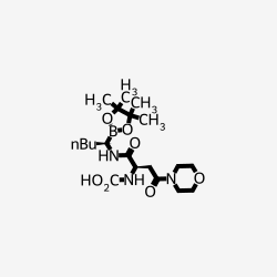 CCCC[C@H](NC(=O)[C@@H](CC(=O)N1CCOCC1)NC(=O)O)B1OC(C)(C)C(C)(C)O1